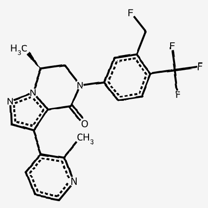 Cc1ncccc1-c1cnn2c1C(=O)N(c1ccc(C(F)(F)F)c(CF)c1)C[C@@H]2C